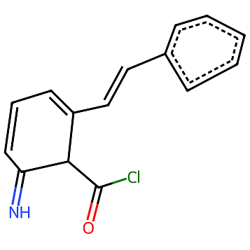 N=C1C=CC=C(C=Cc2ccccc2)C1C(=O)Cl